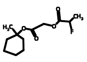 CC(F)C(=O)OCC(=O)OC1(C)CCCCC1